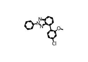 COc1cc(Cl)ccc1-c1cccc2nn(-c3ccccc3)nc12